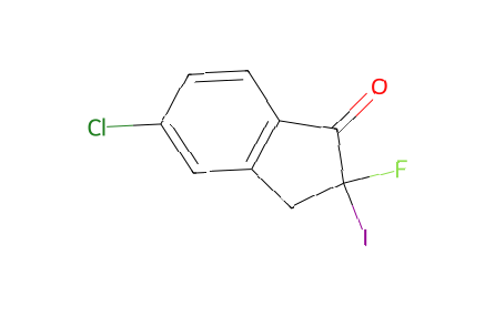 O=C1c2ccc(Cl)cc2CC1(F)I